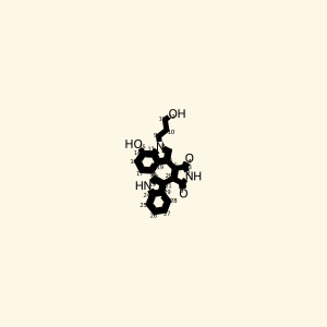 O=C1NC(=O)C(c2cn(CCCO)c3c(O)cccc23)=C1c1c[nH]c2ccccc12